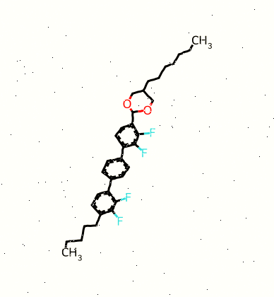 CCCCCCCC1COC(c2ccc(-c3ccc(-c4ccc(CCCCC)c(F)c4F)cc3)c(F)c2F)OC1